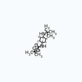 CC(C)(C)NC1CCC(NC(=O)OC(C)(C)C)CC1